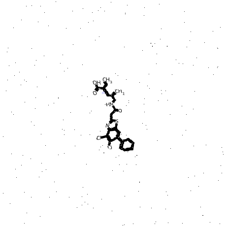 C=C/C(=C\C(=C)CNC(=O)Cc1nc2c(Cl)c(Cl)c(C3=CC=CCC3)cc2s1)C(=O)O